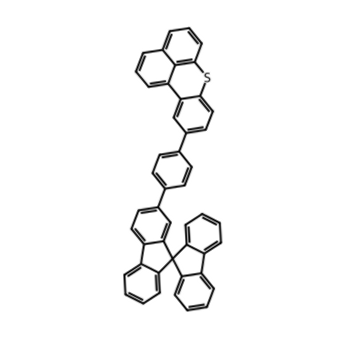 c1ccc2c(c1)-c1ccccc1C21c2ccccc2-c2ccc(-c3ccc(-c4ccc5c(c4)-c4cccc6cccc(c46)S5)cc3)cc21